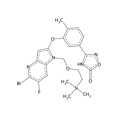 Cc1ccc(-c2noc(=O)[nH]2)cc1Oc1cc2nc(Br)c(F)cc2n1COCC[Si](C)(C)C